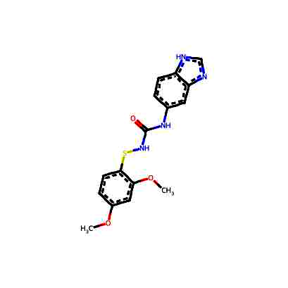 COc1ccc(SNC(=O)Nc2ccc3[nH]cnc3c2)c(OC)c1